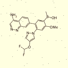 COc1cc(-n2cc(OC(F)F)cn2)c(-c2ccc3c(N)cnnc3c2)cc1B(C)O